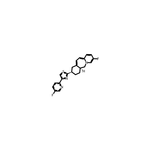 FC1=CN2C[C@H]3CC[C@@H](c4nc(-c5ccc(F)cn5)cs4)CC3=CC=C2C=C1